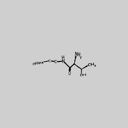 CCCCCCCCNC(=O)[C@@H](N)[C@@H](C)O